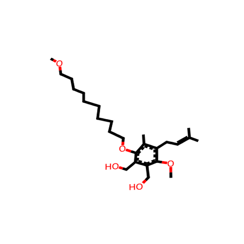 COCCCCCCCCCCOc1c(C)c(CC=C(C)C)c(OC)c(CO)c1CO